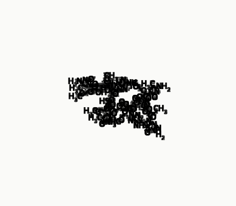 CC[C@H]1O[C@@H](n2cnc3c(=O)[nH]c(N)nc32)C[C@H]1OP(=O)(S)OC[C@H]1O[C@@H](n2cc(C)c(N)nc2=O)C(OCCOC)[C@H]1OP(=O)(O)OC[C@H]1O[C@@H](n2cnc3c(N)ncnc32)C(OCCOC)[C@H]1OP(=O)(O)OC[C@H]1O[C@@H](n2cc(C)c(=O)[nH]c2=O)C(OCCOC)[C@H]1OP(=O)(S)OC[C@H]1O[C@@H](n2cnc3c(N)ncnc32)C(OCCOC)[C@H]1OP(=O)(S)OC[C@H]1O[C@@H](n2cc(C)c(N)nc2=O)C(OCCOC)[C@H]1O